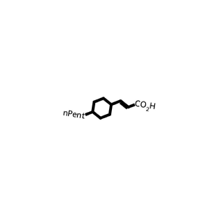 CCCCCC1CCC(C=CC(=O)O)CC1